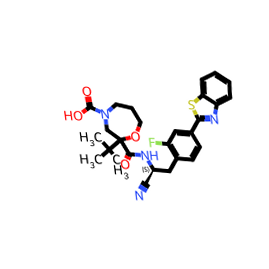 CC(C)(C)C1(C(=O)N[C@H](C#N)Cc2ccc(-c3nc4ccccc4s3)cc2F)CN(C(=O)O)CCCO1